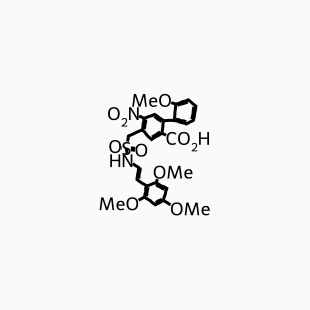 COc1cc(OC)c(/C=C/NS(=O)(=O)Cc2cc(C(=O)O)c(-c3ccccc3OC)cc2[N+](=O)[O-])c(OC)c1